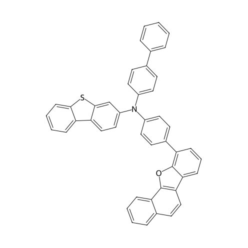 c1ccc(-c2ccc(N(c3ccc(-c4cccc5c4oc4c6ccccc6ccc54)cc3)c3ccc4c(c3)sc3ccccc34)cc2)cc1